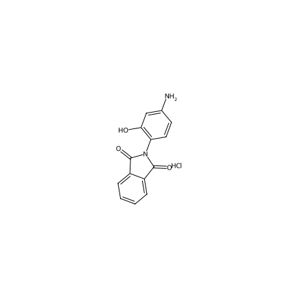 Cl.Nc1ccc(N2C(=O)c3ccccc3C2=O)c(O)c1